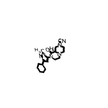 Cn1nc(C2CCCCC2)cc1N1CCN2CCN(C#N)C[C@@H]2C1=O